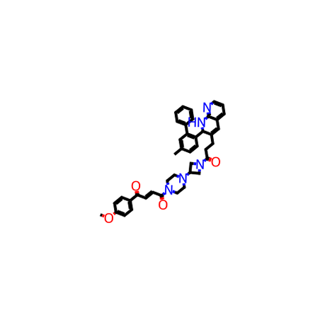 COc1ccc(C(=O)/C=C/C(=O)N2CCN(C3CN(C(=O)CCC4=Cc5cccnc5NC4c4ccc(C)cc4-c4ccccc4)C3)CC2)cc1